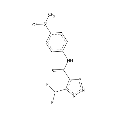 [O-][S+](c1ccc(NC(=S)c2snnc2C(F)F)cc1)C(F)(F)F